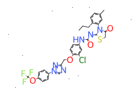 CCCc1ccc(C)cc1N1C(=O)CSC1=NC(=O)Nc1ccc(OCc2ncn(-c3ccc(OC(F)(F)F)cc3)n2)c(Cl)c1